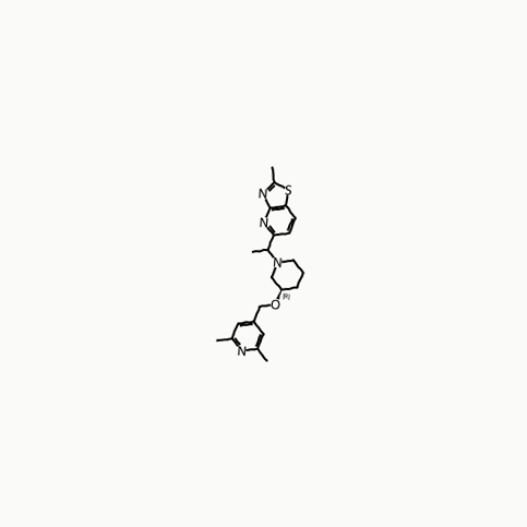 Cc1cc(CO[C@@H]2CCCN(C(C)c3ccc4sc(C)nc4n3)C2)cc(C)n1